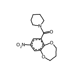 O=C(c1cc([N+](=O)[O-])cc2c1OCCCO2)N1CCCCC1